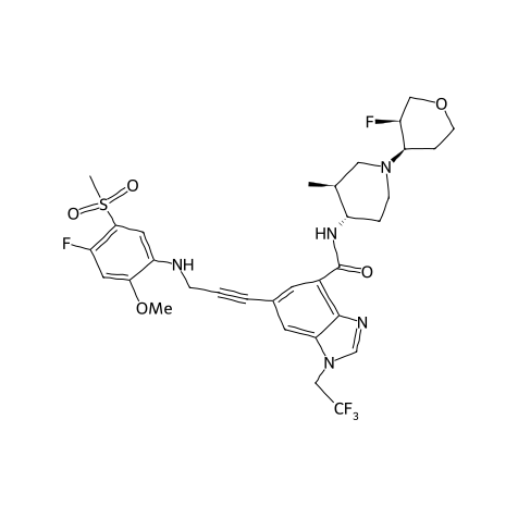 COc1cc(F)c(S(C)(=O)=O)cc1NCC#Cc1cc(C(=O)N[C@H]2CCN([C@@H]3CCOC[C@@H]3F)C[C@@H]2C)c2ncn(CC(F)(F)F)c2c1